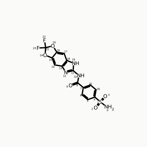 NS(=O)(=O)c1ccc(C(=O)Nc2nc3cc4c(cc3[nH]2)OC(F)(F)O4)cc1